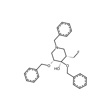 O[C@@]1(OCc2ccccc2)[C@@H](CF)CN(Cc2ccccc2)C[C@H]1OCc1ccccc1